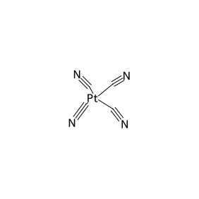 N#[C][Pt]([C]#N)([C]#N)[C]#N